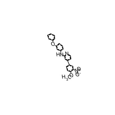 COc1ccc(-c2ccnc(Nc3cccc(Oc4ccccc4)c3)c2)cc1[N+](=O)[O-]